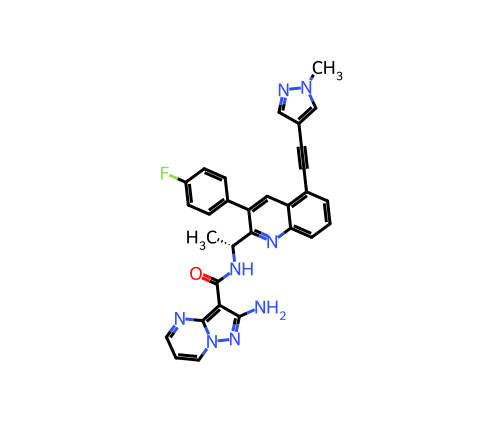 C[C@@H](NC(=O)c1c(N)nn2cccnc12)c1nc2cccc(C#Cc3cnn(C)c3)c2cc1-c1ccc(F)cc1